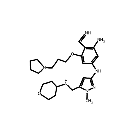 Cn1nc(Nc2cc(N)c(C=N)c(OCCCN3CCCC3)c2)cc1CNC1CCOCC1